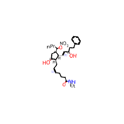 [CH2]CCC(O[N+](=O)[O-])[C@@H]1C[C@H](O)[C@H](C/C=C\CCCC(=O)NCC)[C@H]1/C=C/[C@@H](O)CCc1ccccc1